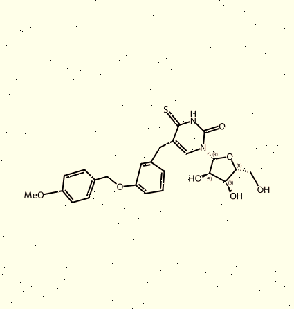 COc1ccc(COc2cccc(Cc3cn([C@@H]4O[C@H](CO)[C@@H](O)[C@H]4O)c(=O)[nH]c3=S)c2)cc1